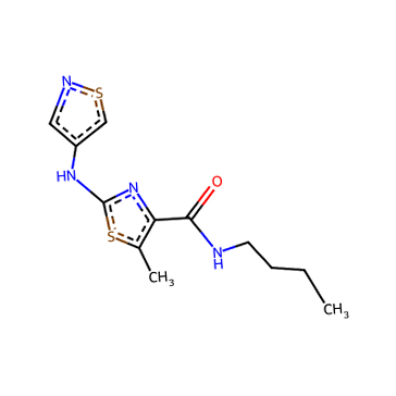 CCCCNC(=O)c1nc(Nc2cnsc2)sc1C